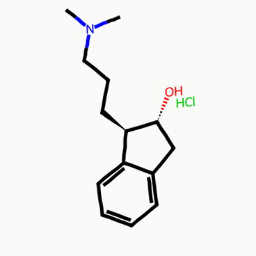 CN(C)CCC[C@@H]1c2ccccc2C[C@H]1O.Cl